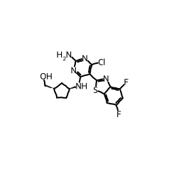 Nc1nc(Cl)c(-c2nc3c(F)cc(F)cc3s2)c(N[C@H]2CC[C@@H](CO)C2)n1